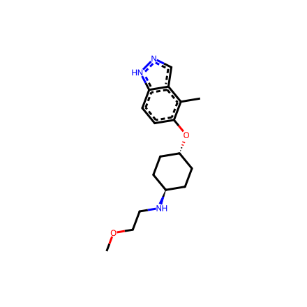 COCCN[C@H]1CC[C@H](Oc2ccc3[nH]ncc3c2C)CC1